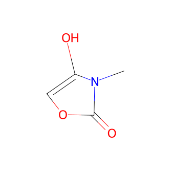 Cn1c(O)coc1=O